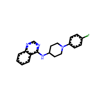 Fc1ccc(N2CCC(Nc3ncnc4ccccc34)CC2)cc1